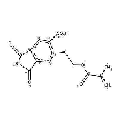 C=C(C)C(=O)OCCc1cc2c(cc1C(=O)O)C(=O)OC2=O